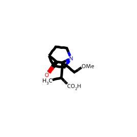 COCC1(C(C)C(=O)O)C(=O)C2CCN1CC2